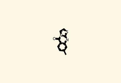 Cc1ccc2c(=O)n3ccsc3nc2c1